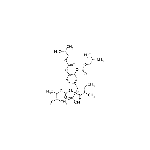 CCC(C)N[C@@](Cc1ccc(OC(=O)OCC(C)C)c(OC(=O)OCC(C)C)c1)(OC(=O)OC(C)C(C)C)C(=O)O